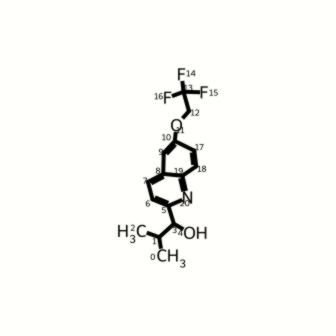 CC(C)C(O)c1ccc2cc(OCC(F)(F)F)ccc2n1